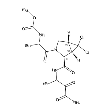 CCCC(NC(=O)[C@@H]1[C@@H]2[C@H](CN1C(=O)C(NC(=O)OC(C)(C)C)C(C)(C)C)C2(Cl)Cl)C(=O)C(N)=O